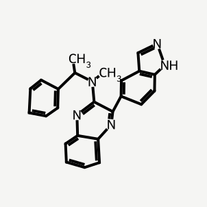 CC(c1ccccc1)N(C)c1nc2ccccc2nc1-c1ccc2[nH]ncc2c1